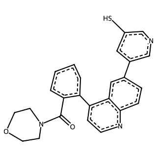 O=C(c1ccccc1-c1ccnc2ccc(-c3cncc(S)c3)cc12)N1CCOCC1